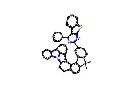 CC1(C)c2ccc(-c3nc(-c4ccccc4)c4c(n3)sc3ccccc34)cc2-c2c1ccc1ccc3c(c4cccc5c6ccccc6n3c54)c21